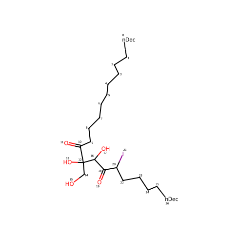 CCCCCCCCCCCCCCCCCCCC(=O)C(O)(CO)C(O)C(=O)C(I)CCCCCCCCCCCCCC